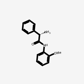 COc1ccccc1NC(=O)[C@@H](N)c1ccccc1